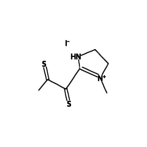 CC(=S)C(=S)C1=[N+](C)CCN1.[I-]